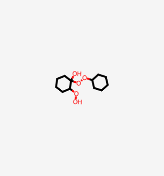 OOC1CCCCC1(O)OOC1CCCCC1